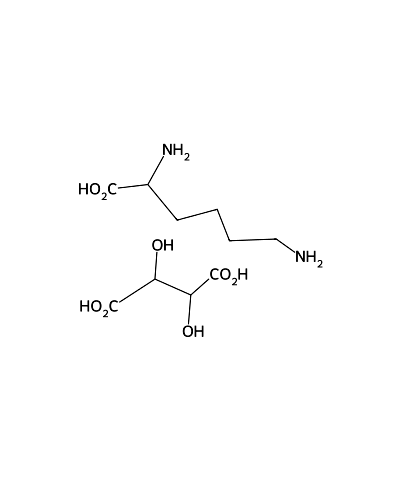 NCCCCC(N)C(=O)O.O=C(O)C(O)C(O)C(=O)O